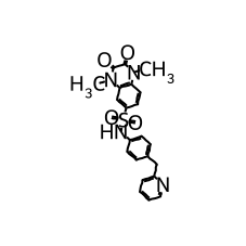 Cn1c(=O)c(=O)n(C)c2cc(S(=O)(=O)Nc3ccc(Cc4ccccn4)cc3)ccc21